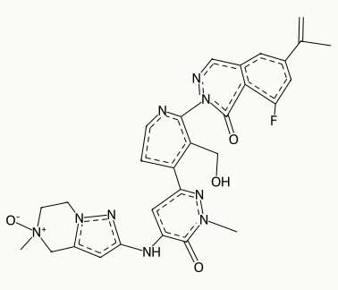 C=C(C)c1cc(F)c2c(=O)n(-c3nccc(-c4cc(Nc5cc6n(n5)CC[N+](C)([O-])C6)c(=O)n(C)n4)c3CO)ncc2c1